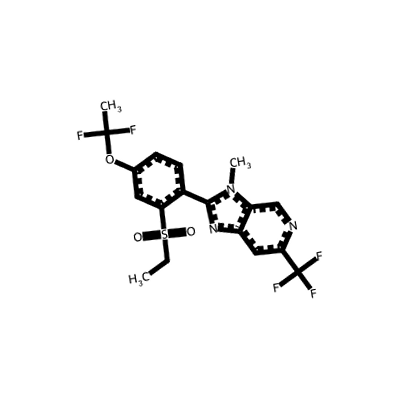 CCS(=O)(=O)c1cc(OC(C)(F)F)ccc1-c1nc2cc(C(F)(F)F)ncc2n1C